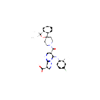 Cc1cc(F)ccc1Nc1c(C(=O)N2CCC3(CC2)OC(C)(C)c2ccccc23)cnc2c(C(=O)O)cnn12